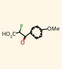 COc1ccc(C(=O)C(F)C(=O)O)cc1